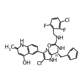 C=C1C=C(O)c2cc(-c3nc([C@H](Cc4ccccc4)NC(=O)NCc4c(F)ccc(Cl)c4F)[nH]c3Cl)ccc2N1